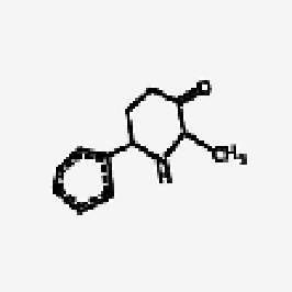 CC1NC(c2ccccc2)CCC1=O